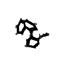 CCCCOc1ccn[c]c1-c1cccc2ccccc12